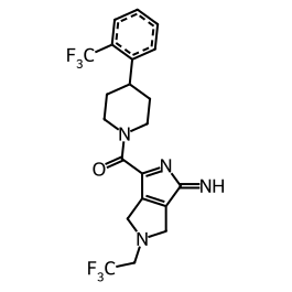 N=C1N=C(C(=O)N2CCC(c3ccccc3C(F)(F)F)CC2)C2=C1CN(CC(F)(F)F)C2